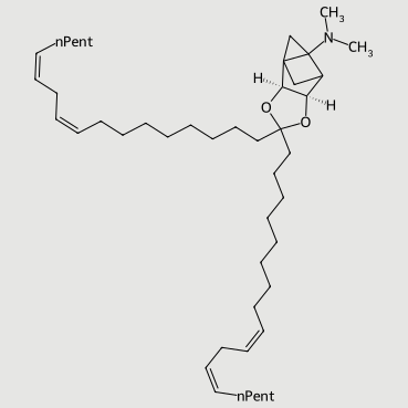 CCCCC/C=C\C/C=C\CCCCCCCCC1(CCCCCCCC/C=C\C/C=C\CCCCC)O[C@@H]2C3CC4(CC34N(C)C)[C@@H]2O1